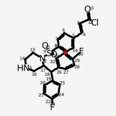 O=C(Cl)C=Cc1ccc(S(=O)(=O)N2CCNCC2C(c2ccc(F)cc2)c2ccc(F)cc2)cc1